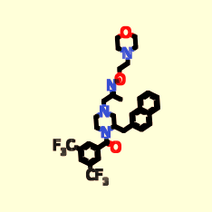 C/C(CN1CCN(C(=O)c2cc(C(F)(F)F)cc(C(F)(F)F)c2)C(Cc2ccc3ccccc3c2)C1)=N\OCCN1CCOCC1